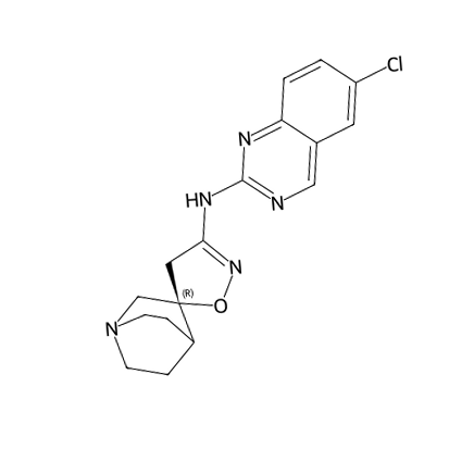 Clc1ccc2nc(NC3=NO[C@@]4(C3)CN3CCC4CC3)ncc2c1